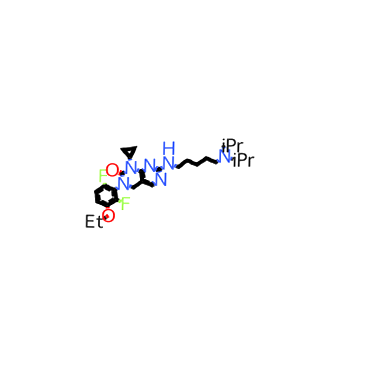 CCOc1ccc(F)c(N2Cc3cnc(NCCCCCN(C(C)C)C(C)C)nc3N(C3CC3)C2=O)c1F